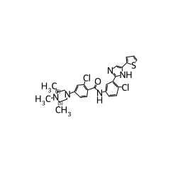 C[C@@H]1CN(c2ccc(C(=O)Nc3ccc(Cl)c(-c4ncc(-c5cccs5)[nH]4)c3)c(Cl)c2)C[C@H](C)N1C